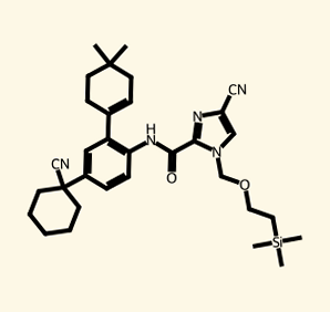 CC1(C)CC=C(c2cc(C3(C#N)CCCCC3)ccc2NC(=O)c2nc(C#N)cn2COCC[Si](C)(C)C)CC1